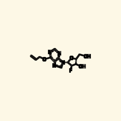 C=CCOc1ncnc2c1ncn2C1OC(CO)C(O)[C@H]1F